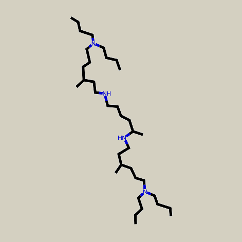 CCCCN(CCCC)CCCC(C)CCNCCCCC(C)NCCC(C)CCCN(CCCC)CCCC